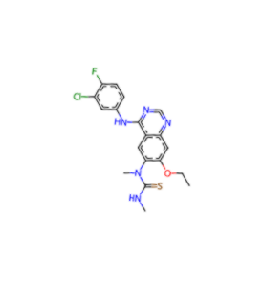 CCOc1cc2ncnc(Nc3ccc(F)c(Cl)c3)c2cc1N(C)C(=S)NC